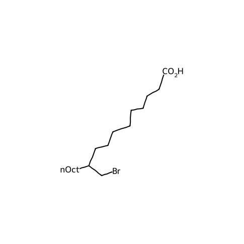 CCCCCCCCC(CBr)CCCCCCCCC(=O)O